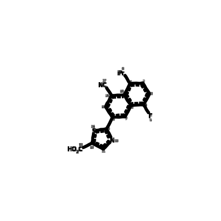 CC(C)c1ccc(F)c2cc(-c3ncc(C(=O)O)s3)cc(C#N)c12